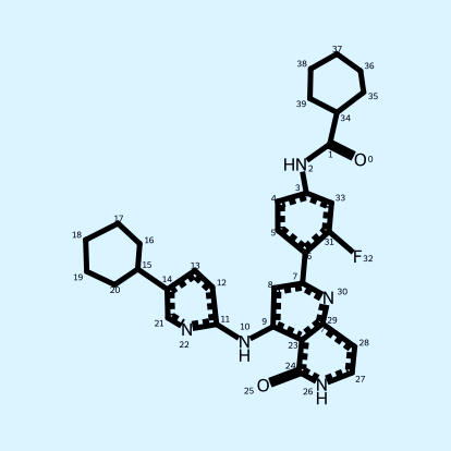 O=C(Nc1ccc(-c2cc(Nc3ccc(C4CCCCC4)cn3)c3c(=O)[nH]ccc3n2)c(F)c1)C1CCCCC1